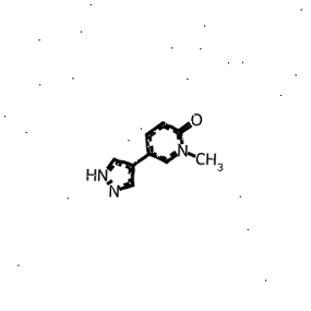 Cn1cc(-c2cn[nH]c2)ccc1=O